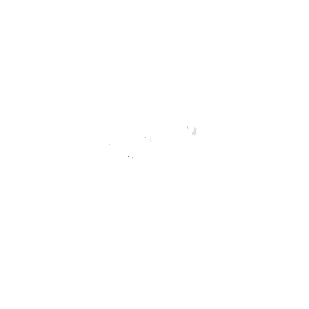 C1CNCCN1.CC(=O)N1CCCC1